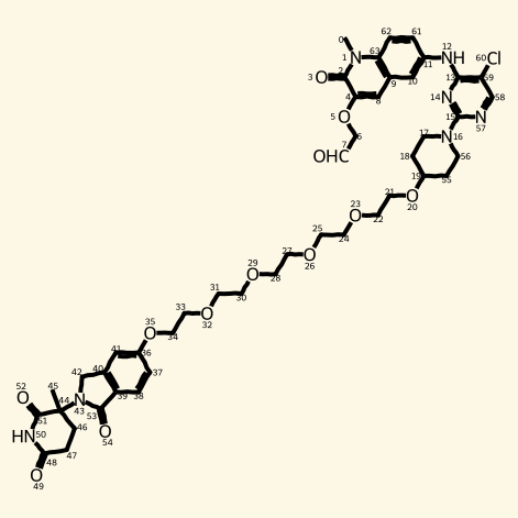 Cn1c(=O)c(OCC=O)cc2cc(Nc3nc(N4CCC(OCCOCCOCCOCCOCCOc5ccc6c(c5)CN(C5(C)CCC(=O)NC5=O)C6=O)CC4)ncc3Cl)ccc21